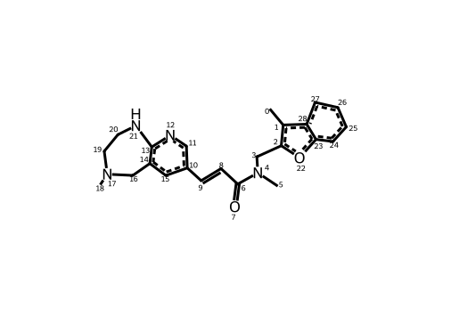 Cc1c(CN(C)C(=O)/C=C/c2cnc3c(c2)CN(C)CCN3)oc2ccccc12